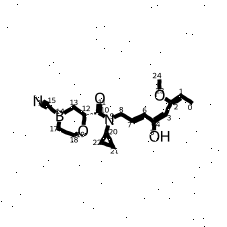 C\C=C(/C=C(O)\C=C\CN(C(=O)[C@H]1CB(C#N)CCO1)C1CC1)OC